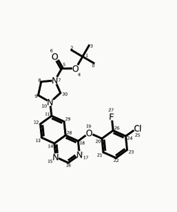 CC(C)(C)OC(=O)N1CCN(c2ccc3ncnc(Oc4cccc(Cl)c4F)c3c2)C1